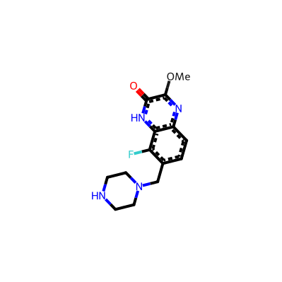 COc1nc2ccc(CN3CCNCC3)c(F)c2[nH]c1=O